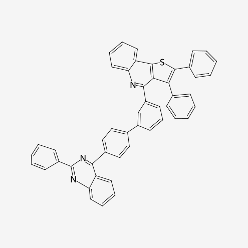 c1ccc(-c2nc(-c3ccc(-c4cccc(-c5nc6ccccc6c6sc(-c7ccccc7)c(-c7ccccc7)c56)c4)cc3)c3ccccc3n2)cc1